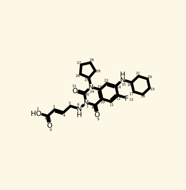 O=C(O)C=CCNn1c(=O)c2cc(F)c(NC3CCCCC3)cc2n(C2CCCC2)c1=O